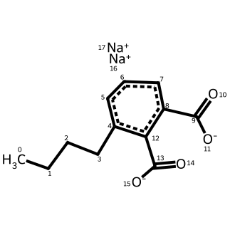 CCCCc1cccc(C(=O)[O-])c1C(=O)[O-].[Na+].[Na+]